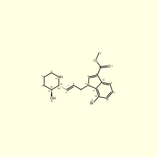 COC(=O)c1cn(C/C=C/[C@H]2NCCC[C@@H]2O)c2c(Br)cccc12